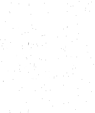 CCCCCCCCCCC(=O)NC1CC(C)(C)N(OC(C)c2ccccc2)C(CC)(CC)C1